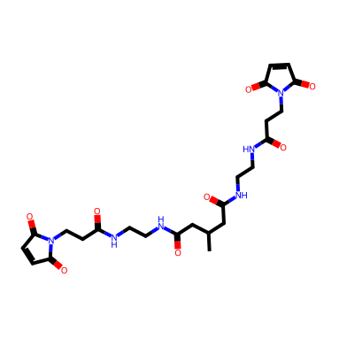 CC(CC(=O)NCCNC(=O)CCN1C(=O)C=CC1=O)CC(=O)NCCNC(=O)CCN1C(=O)C=CC1=O